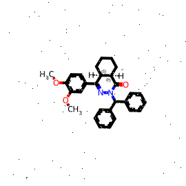 COc1ccc(C2=NN(C(c3ccccc3)c3ccccc3)C(=O)[C@@H]3CCCC[C@H]23)cc1OC